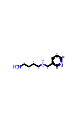 NCCCCNCc1cccnc1